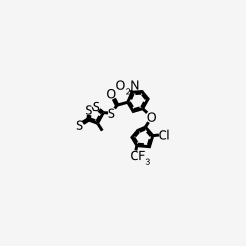 Cc1c(SC(=O)c2cc(Oc3ccc(C(F)(F)F)cc3Cl)ccc2[N+](=O)[O-])ssc1=S